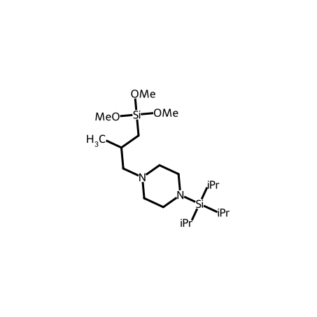 CO[Si](CC(C)CN1CCN([Si](C(C)C)(C(C)C)C(C)C)CC1)(OC)OC